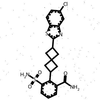 NC(=O)c1cccc(S(N)(=O)=O)c1C1CC2(CC(c3nc4cc(Cl)ccc4s3)C2)C1